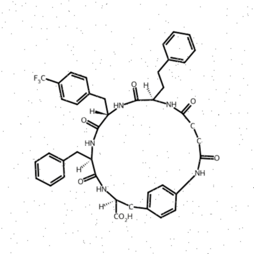 O=C1CCC(=O)N[C@H](CCc2ccccc2)C(=O)N[C@@H](Cc2ccc(C(F)(F)F)cc2)C(=O)N[C@H](Cc2ccccc2)C(=O)N[C@H](C(=O)O)Cc2ccc(cc2)N1